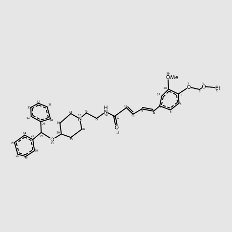 CCOCOc1ccc(C=CC=CC(=O)NCCN2CCC(OC(c3ccccc3)c3ccccc3)CC2)cc1OC